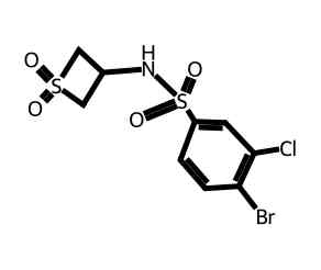 O=S1(=O)CC(NS(=O)(=O)c2ccc(Br)c(Cl)c2)C1